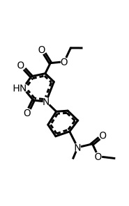 CCOC(=O)c1cn(-c2ccc(N(C)C(=O)OC)cc2)c(=O)[nH]c1=O